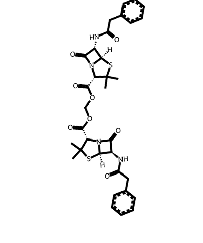 CC1(C)S[C@@H]2[C@H](NC(=O)Cc3ccccc3)C(=O)N2[C@H]1C(=O)OCOC(=O)[C@@H]1N2C(=O)[C@H](NC(=O)Cc3ccccc3)[C@H]2SC1(C)C